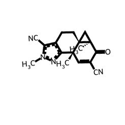 Cn1nc2c(c1C#N)CC[C@@]13C[C@@]1(C)C(=O)C(C#N)=C[C@]23C